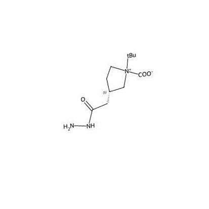 CC(C)(C)[N+]1(C(=O)[O-])CC[C@@H](CC(=O)NN)C1